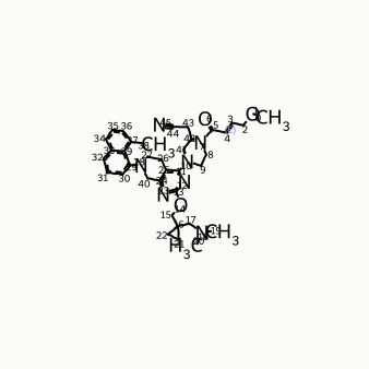 COC/C=C/C(=O)N1CCN(c2nc(OCC3(CN(C)C)CC3)nc3c2CCN(c2cccc4cccc(C)c24)C3)CC1CC#N